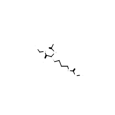 CC(C)(C)OC(=O)NCCCC[C@H](NC(=O)OC(C)(C)C)C(=O)NCC(=O)O